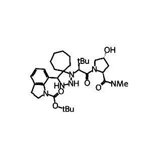 CNC(=O)[C@@H]1C[C@@H](O)CN1C(=O)[C@@H](N1NNC(c2cccc3c2N(C(=O)OC(C)(C)C)CC3)C12CCCCCC2)C(C)(C)C